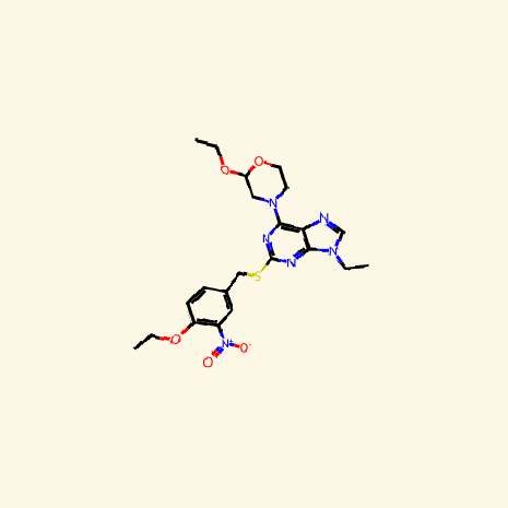 CCOc1ccc(CSc2nc(N3CCOC(OCC)C3)c3ncn(CC)c3n2)cc1[N+](=O)[O-]